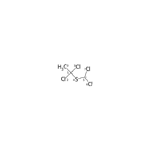 CC(Cl)(Cl)S[C](Cl)Cl